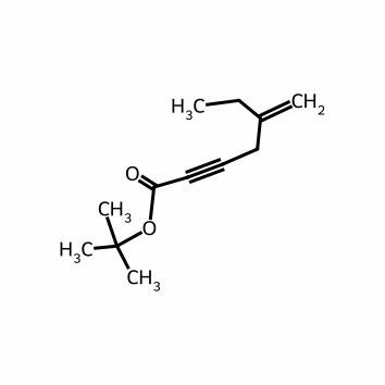 C=C(CC)CC#CC(=O)OC(C)(C)C